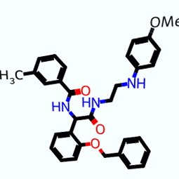 COc1ccc(NCCNC(=O)C(NC(=O)c2cccc(C)c2)c2ccccc2OCc2ccccc2)cc1